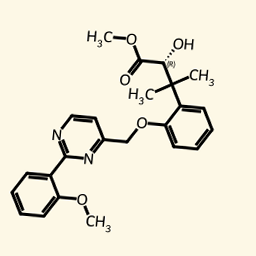 COC(=O)[C@H](O)C(C)(C)c1ccccc1OCc1ccnc(-c2ccccc2OC)n1